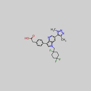 Cc1nnn(C)c1-c1cnc2c(-c3ccc(CC(=O)O)cc3)cn(CC3(F)CCC(F)(F)CC3)c2c1